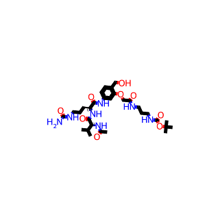 CC(=O)N[C@H](C(=O)N[C@@H](CCCNC(N)=O)C(=O)Nc1ccc(CO)c(OCC(=O)NCCCNC(=O)OC(C)(C)C)c1)C(C)C